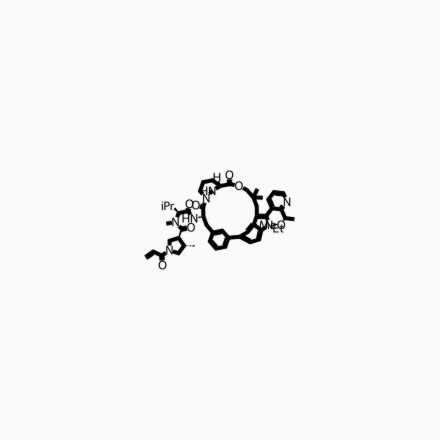 C=CC(=O)N1C[C@@H](C)[C@H](C(=O)N(C)[C@H](C(=O)N[C@H]2Cc3cccc(c3)-c3ccc4c(c3)c(c(-c3cccnc3[C@H](C)OC)n4CC)CC(C)(C)COC(=O)[C@@H]3CCCN(N3)C2=O)C(C)C)C1